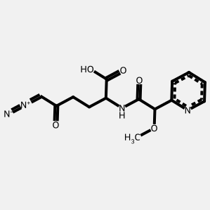 COC(C(=O)NC(CCC(=O)C=[N+]=[N-])C(=O)O)c1ccccn1